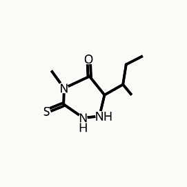 CCC(C)C1NNC(=S)N(C)C1=O